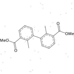 COC(=O)c1cccc(-c2cccc(C(=O)OC)c2C)c1C